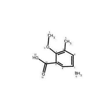 B.COc1c(C)cccc1C(=O)O